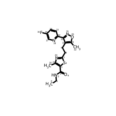 CCNC(=O)c1sc(CCc2c(-c3ccc(F)cn3)noc2C)nc1C